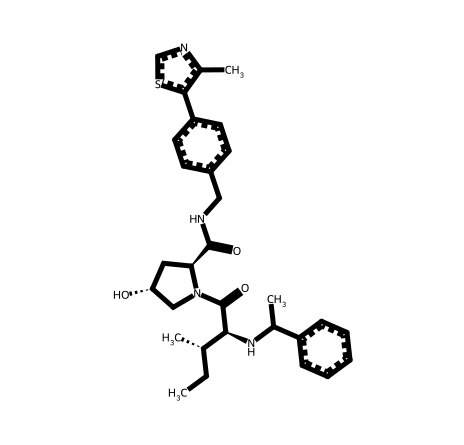 CC[C@H](C)[C@H](NC(C)c1ccccc1)C(=O)N1C[C@H](O)C[C@H]1C(=O)NCc1ccc(-c2scnc2C)cc1